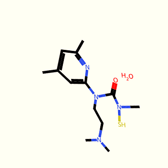 Cc1cc(C)nc(N(CCN(C)C)C(=O)N(C)S)c1.O